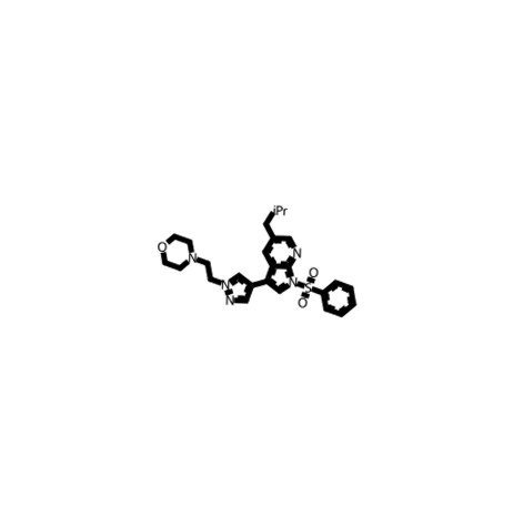 CC(C)Cc1cnc2c(c1)c(-c1cnn(CCN3CCOCC3)c1)cn2S(=O)(=O)c1ccccc1